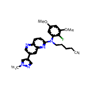 COc1cc(OC)c(F)c(N(CCCCC#N)c2ccc3ncc(-c4cnn(C)c4)cc3n2)c1